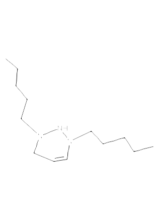 CCCCCN1C=CCN(CCCCC)N1